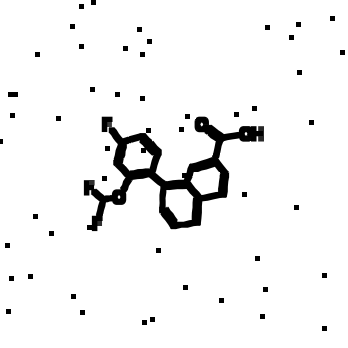 O=C(O)c1ccc2cccc(-c3ccc(F)cc3OC(F)F)c2c1